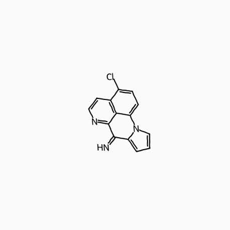 N=c1c2nccc3c(Cl)ccc(c32)n2cccc12